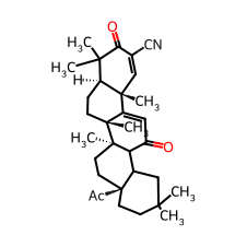 CC(=O)[C@]12CCC(C)(C)CC1C1C(=O)C=C3[C@@]4(C)C=C(C#N)C(=O)C(C)(C)[C@@H]4CC[C@@]3(C)[C@]1(C)CC2